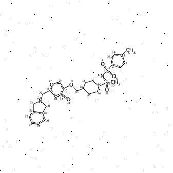 Cc1ccc(S(=O)(=O)N=S(C)(=O)C2CCC(COc3coc(CN4Cc5ccccc5C4)cc3=O)CC2)cc1